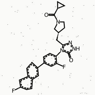 O=C(C1CC1)N1CC[C@@H](Cc2n[nH]c(=O)n2-c2ccc(-c3ccc4cc(F)ccc4c3)cc2F)C1